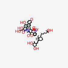 C=C1/C(=C\C=C2/CCC[C@]3(C)[C@@H]([C@H](C)CCCC(C)(C)O)CC[C@@H]23)C[C@@H](O)C[C@@H]1O.COC(=O)C1=C(C)NC(C)=C(C(=O)OC)C1c1ccccc1[N+](=O)[O-].C[C@@H]1C[C@H]2[C@@H]3CCC4=CC(=O)C=C[C@]4(C)[C@@]3(F)[C@@H](O)C[C@]2(C)[C@@]1(O)C(=O)CO